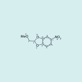 COCC1Oc2ccc([N+](=O)[O-])cc2O1